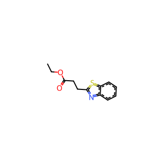 CCOC(=O)CCc1nc2ccccc2s1